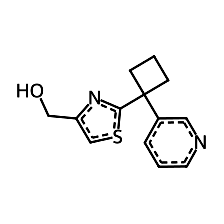 OCc1csc(C2(c3cccnc3)CCC2)n1